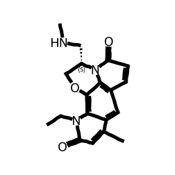 CCn1c(=O)cc(C)c2cc3ccc(=O)n4c3c(c21)OC[C@@H]4CNC